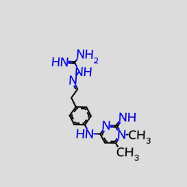 Cc1cc(Nc2ccc(CC=NNC(=N)N)cc2)nc(=N)n1C